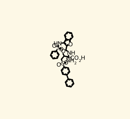 CC(CS(=O)(=O)c1ccc(-c2ccccc2)cc1)[C@@](N)(NC(=O)c1oc2ccccc2c1NS(=O)(=O)c1ccccc1)C(=O)O